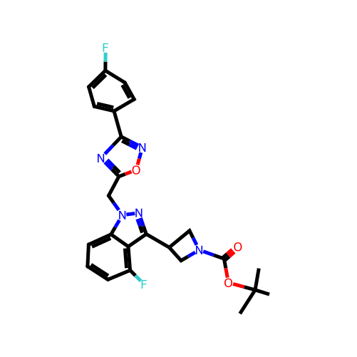 CC(C)(C)OC(=O)N1CC(c2nn(Cc3nc(-c4ccc(F)cc4)no3)c3cccc(F)c23)C1